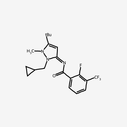 Cn1c(C(C)(C)C)c/c(=N/C(=O)c2cccc(C(F)(F)F)c2F)n1CC1CC1